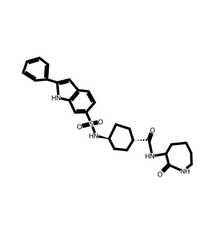 O=C1NCCCCC1NC(=O)[C@H]1CC[C@H](NS(=O)(=O)c2ccc3cc(-c4ccccc4)[nH]c3c2)CC1